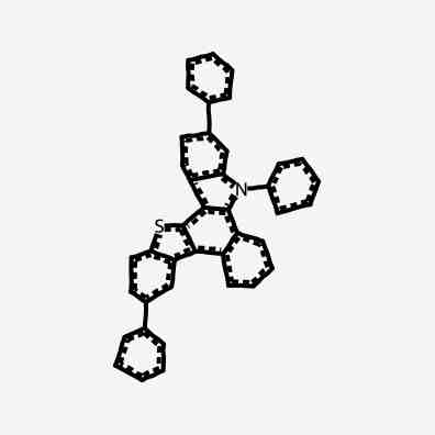 c1ccc(-c2ccc3sc4c(c3c2)c2ccccc2c2c4c3ccc(-c4ccccc4)cc3n2-c2ccccc2)cc1